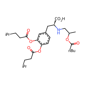 CCCCC(=O)OC(C)CN[C@@H](Cc1ccc(OC(=O)CCC(C)C)c(OC(=O)CCC(C)C)c1)C(=O)O